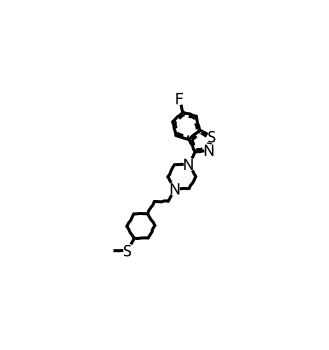 CSC1CCC(CCN2CCN(c3nsc4cc(F)ccc34)CC2)CC1